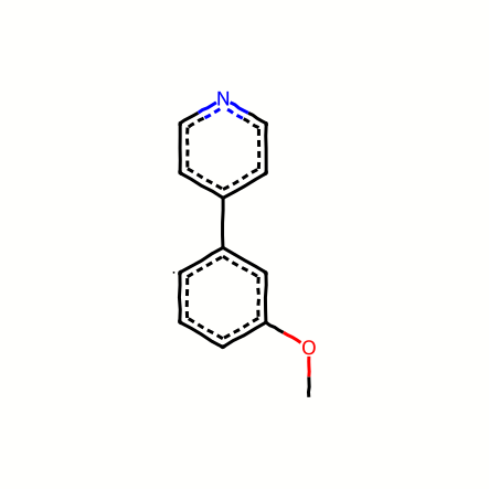 COc1cc[c]c(-c2ccncc2)c1